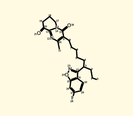 CCCC(CCCCCc1c(C)nc2n(c1=O)CCCC2=O)c1noc2cc(F)ccc12